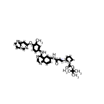 Cc1cc(Nc2ncnc3ccc(NC(=O)/C=C/[C@H]4CCCN4C(=O)OC(C)(C)C)cc23)ccc1Oc1cc2nncn2cn1